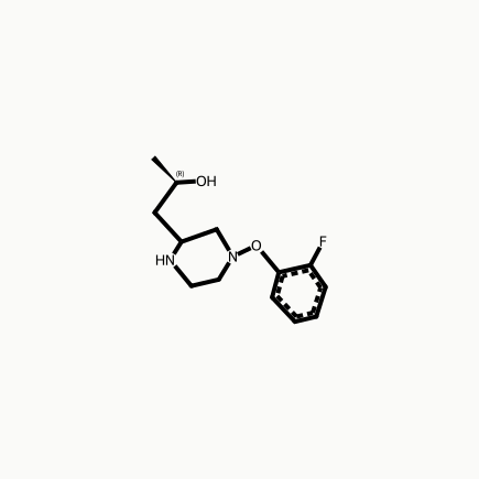 C[C@@H](O)CC1CN(Oc2ccccc2F)CCN1